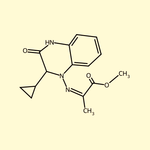 COC(=O)/C(C)=N\N1c2ccccc2NC(=O)C1C1CC1